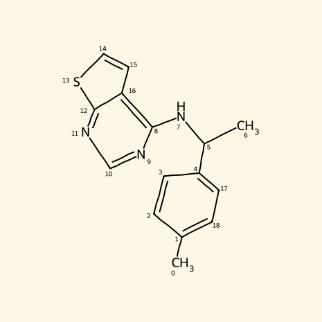 Cc1ccc(C(C)Nc2ncnc3sccc23)cc1